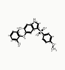 COc1ccc(S(=O)(=O)c2c[nH]c3ccc(Oc4c(Cl)c[c]cc4Cl)cc23)cc1